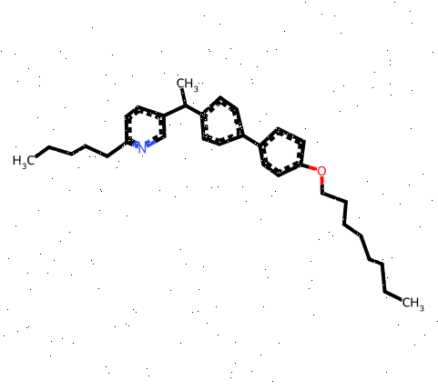 CCCCCCCCOc1ccc(-c2ccc(C(C)c3ccc(CCCCC)nc3)cc2)cc1